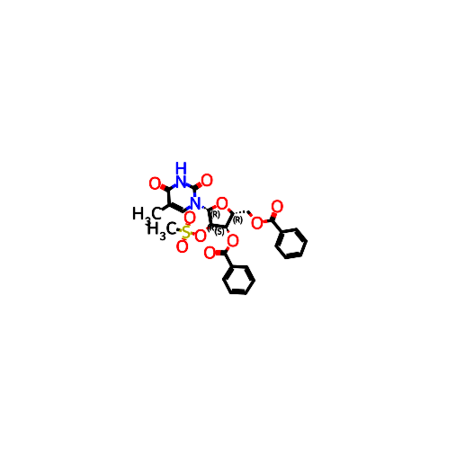 Cc1cn([C@@H]2O[C@H](COC(=O)c3ccccc3)[C@H](OC(=O)c3ccccc3)[C@H]2OS(C)(=O)=O)c(=O)[nH]c1=O